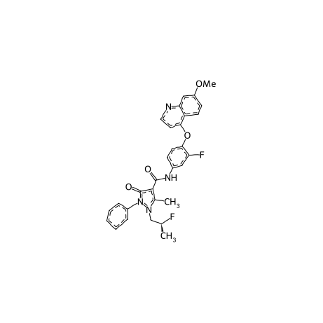 COc1ccc2c(Oc3ccc(NC(=O)c4c(C)n(C[C@H](C)F)n(-c5ccccc5)c4=O)cc3F)ccnc2c1